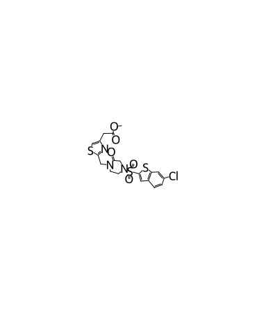 COC(=O)Cc1csc(CN2CCN(S(=O)(=O)c3cc4ccc(Cl)cc4s3)CC2=O)n1